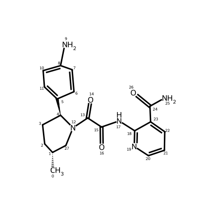 C[C@@H]1CC[C@@H](c2ccc(N)cc2)N(C(=O)C(=O)Nc2ncccc2C(N)=O)C1